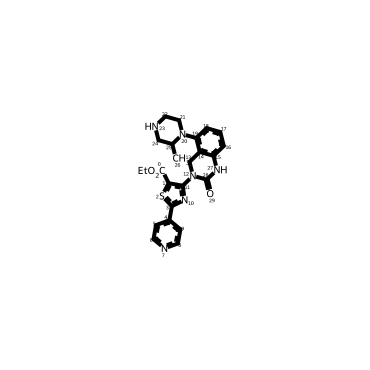 CCOC(=O)c1sc(-c2ccncc2)nc1N1Cc2c(cccc2N2CCNCC2C)NC1=O